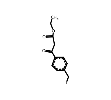 CCOC(=O)CC(=O)c1ccc(CI)cc1